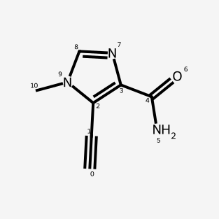 C#Cc1c(C(N)=O)ncn1C